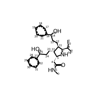 CNC(=O)C[C@H]1N[C@H](C(F)F)[C@H](CCC(O)c2ccccc2)[C@H]1CCC(O)c1ccccc1